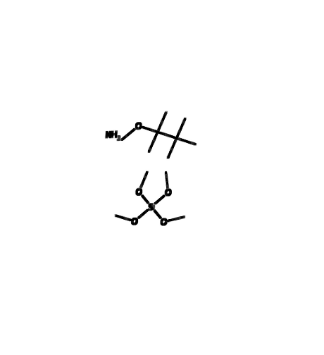 COC(C)(C)C(C)(C)C.CO[Si](OC)(OC)OC.N